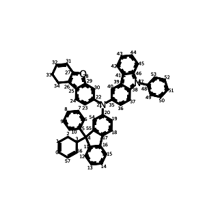 C1=CCC(C2(c3ccccc3)c3ccccc3-c3ccc(N(c4ccc5c6c(oc5c4)C=CCC6)c4ccc5c(c4)c4ccccc4n5-c4ccccc4)cc32)C=C1